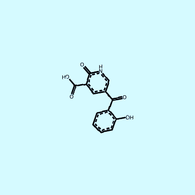 O=C(c1c[nH]c(=O)c(C(=O)O)c1)c1ccccc1O